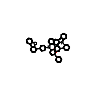 c1ccc(-c2ccc(N(c3ccc(-c4cccc5c4oc4ccccc45)cc3)c3ccccc3-c3cccc(-c4ccccc4-n4c5ccccc5c5ccccc54)c3)cc2)cc1